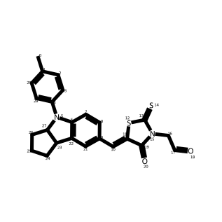 Cc1ccc(N2c3ccc(/C=C4\SC(=S)N(CC=O)C4=O)cc3C3CCCC32)cc1